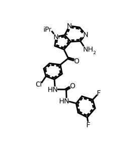 CC(C)n1cc(C(=O)c2ccc(Cl)c(NC(=O)Nc3cc(F)cc(F)c3)c2)c2c(N)ncnc21